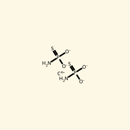 NP([O-])([O-])=S.NP([O-])([O-])=S.[C+4]